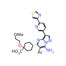 COCCO[C@]1(C(=O)O)CC[C@H](c2nc3c(-c4ccc(-c5cscn5)nc4)cnn3c(N)c2C(C)=O)CC1